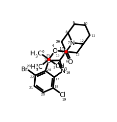 CC(C)(C)OC(=O)N1C2CCCC1CN(c1nc3c(Cl)ccc(Br)c3o1)C2